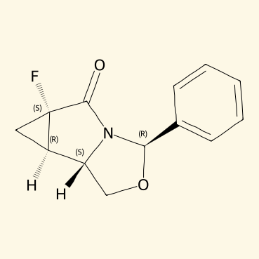 O=C1N2[C@@H](c3ccccc3)OC[C@@H]2[C@H]2C[C@@]12F